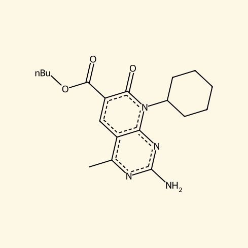 CCCCOC(=O)c1cc2c(C)nc(N)nc2n(C2CCCCC2)c1=O